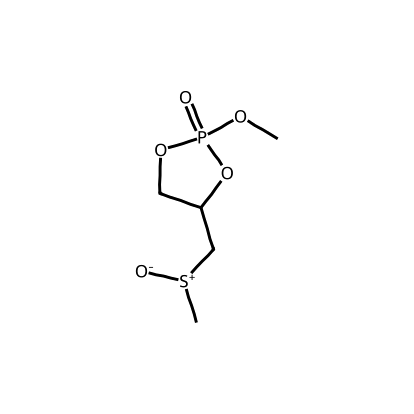 COP1(=O)OCC(C[S+](C)[O-])O1